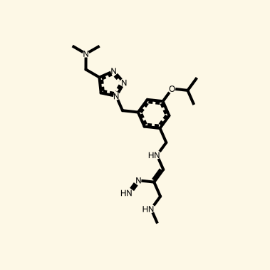 CNC/C(=C/NCc1cc(Cn2cc(CN(C)C)nn2)cc(OC(C)C)c1)N=N